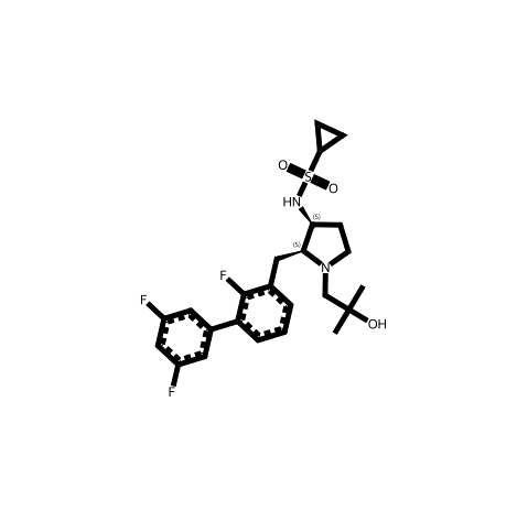 CC(C)(O)CN1CC[C@H](NS(=O)(=O)C2CC2)[C@@H]1Cc1cccc(-c2cc(F)cc(F)c2)c1F